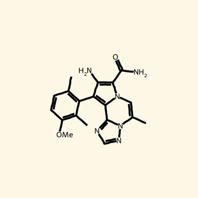 COc1ccc(C)c(-c2c(N)c(C(N)=O)n3cc(C)n4ncnc4c23)c1C